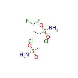 NS(=O)(=O)CC(Cl)(Cl)C(CC(F)F)S(N)(=O)=O